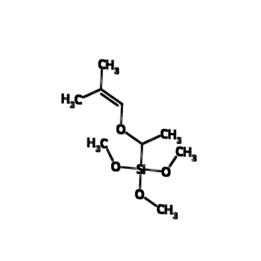 CO[Si](OC)(OC)C(C)OC=C(C)C